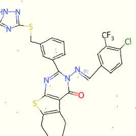 O=c1c2c3c(sc2nc(-c2cccc(CSc4nc[nH]n4)c2)n1/N=C/c1ccc(Cl)c(C(F)(F)F)c1)CCCC3